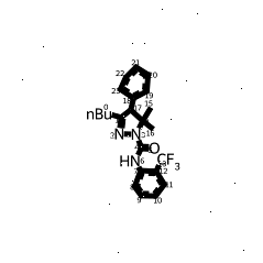 CCCCC1=NN(C(=O)Nc2ccccc2C(F)(F)F)C(C)(C)C1c1ccccc1